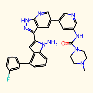 CN1CCN(C(=O)Nc2cncc(-c3cnc4[nH]nc(-c5cc6c(-c7cccc(F)c7)cccc6n5N)c4c3)c2)CC1